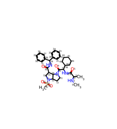 CNC(C)C(=O)NC(C(=O)N1CCC2C1C(C(=O)NC(c1ccccc1)c1ccccc1)CN2S(C)(=O)=O)C1CCCCC1